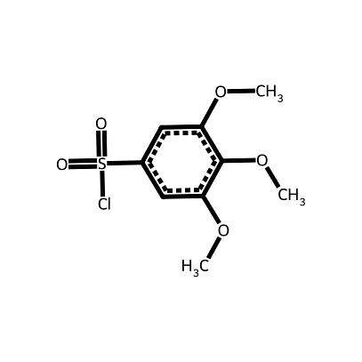 COc1cc(S(=O)(=O)Cl)cc(OC)c1OC